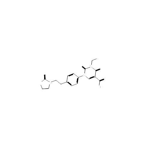 CCn1c(=O)c(C(=O)O)cn(-c2ccc(CCN3CCOC3=O)cc2)c1=O